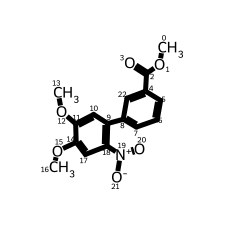 COC(=O)c1cccc(-c2cc(OC)c(OC)cc2[N+](=O)[O-])c1